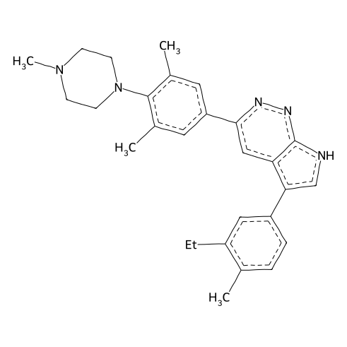 CCc1cc(-c2c[nH]c3nnc(-c4cc(C)c(N5CCN(C)CC5)c(C)c4)cc23)ccc1C